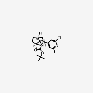 Cc1cc(N2C[C@H]3CC[C@@H](C2)[C@@H]3NC(=O)OC(C)(C)C)cc(Cl)n1